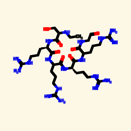 CCNC(CO)C(=O)N[C@@H](CCCNC(=N)N)C(=O)NC(CCCNC(=N)N)C(=O)N[C@@H](CCCNC(=N)N)C(=O)NC(CCCNC(=N)N)C(=O)NCC=O